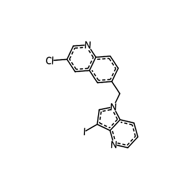 Clc1cnc2ccc(Cn3cc(I)c4ncccc43)cc2c1